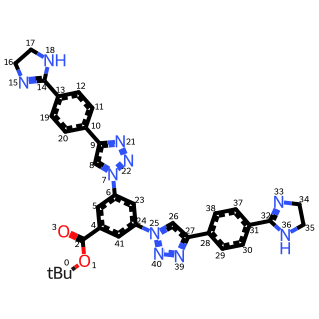 CC(C)(C)OC(=O)c1cc(-n2cc(-c3ccc(C4=NCCN4)cc3)nn2)cc(-n2cc(-c3ccc(C4=NCCN4)cc3)nn2)c1